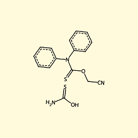 N#CCOC(=S)N(c1ccccc1)c1ccccc1.NC(O)=S